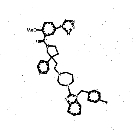 COc1ccc(-n2cnnn2)cc1C(=O)N1CCC(CCN2CCCN(c3nc4ccccc4n3Cc3ccc(F)cc3)CC2)(c2ccccc2)C1